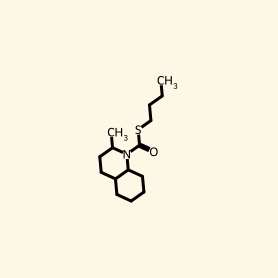 CCCCSC(=O)N1C(C)CCC2CCCCC21